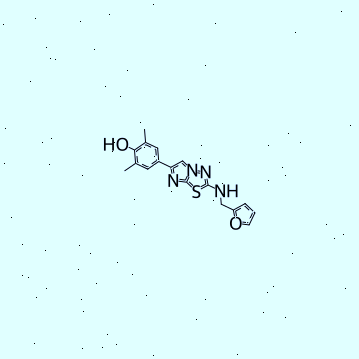 Cc1cc(-c2cn3nc(NCc4ccco4)sc3n2)cc(C)c1O